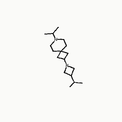 CC(C)C1CN(C2CC3(CCN(C(C)C)CC3)C2)C1